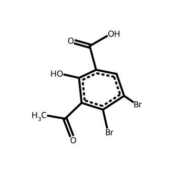 CC(=O)c1c(O)c(C(=O)O)cc(Br)c1Br